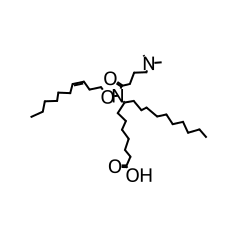 CCCCCC/C=C\CCON(C(=O)CCCN(C)C)C(CCCCCCCCCC)CCCCCCC(=O)O